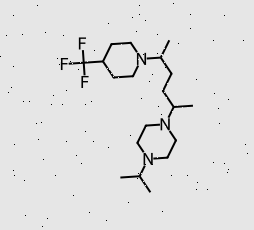 CC(C)N1CCN(C(C)CCC(C)N2CCC(C(F)(F)F)CC2)CC1